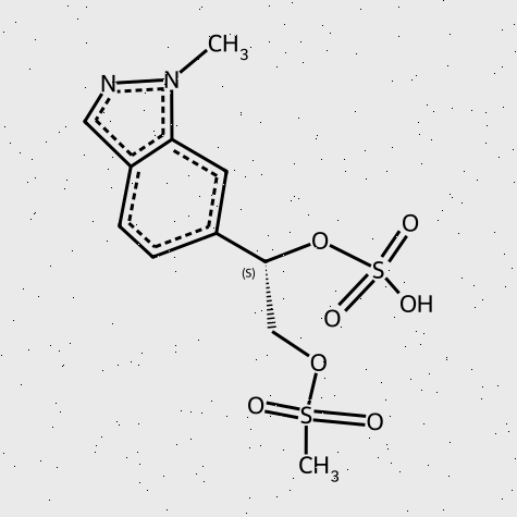 Cn1ncc2ccc([C@@H](COS(C)(=O)=O)OS(=O)(=O)O)cc21